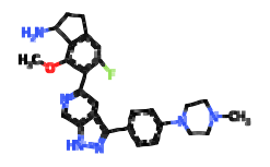 COc1c(-c2cc3c(-c4ccc(N5CCN(C)CC5)cc4)n[nH]c3cn2)c(F)cc2c1C(N)CC2